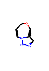 C1=CN2NN=CC2=COC1